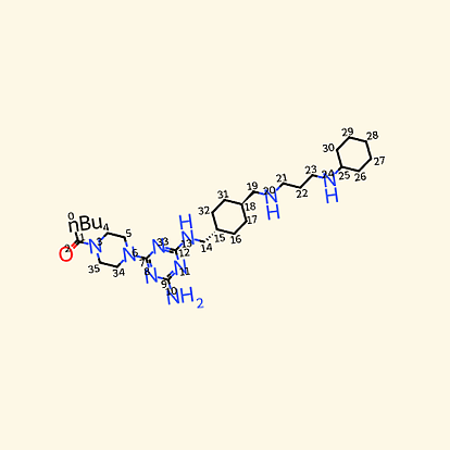 CCCCC(=O)N1CCN(c2nc(N)nc(NC[C@H]3CC[C@H](CNCCCNC4CCCCC4)CC3)n2)CC1